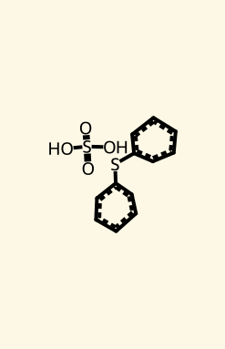 O=S(=O)(O)O.c1ccc(Sc2ccccc2)cc1